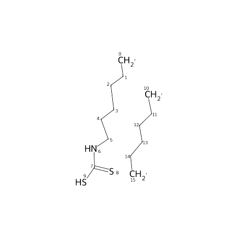 [CH2]CCCCCNC(=S)S.[CH2]CCCC[CH2]